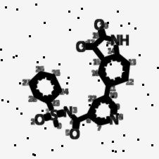 CS(=O)(=NC(=O)c1cncc(-c2ccc3c(c2)C(=O)C(=O)N3)c1)c1ccccc1